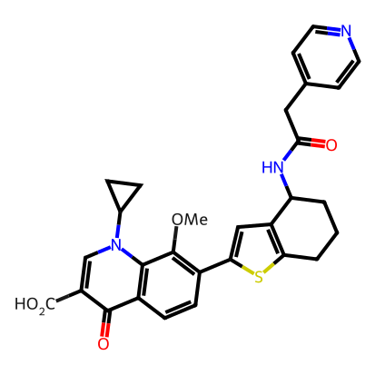 COc1c(-c2cc3c(s2)CCCC3NC(=O)Cc2ccncc2)ccc2c(=O)c(C(=O)O)cn(C3CC3)c12